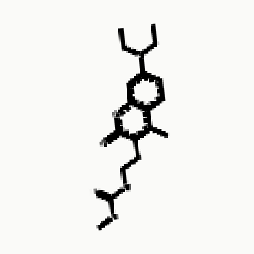 CCN(CC)c1ccc2c(C)c(CCNC(=O)NC)c(=O)oc2c1